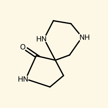 O=C1NCCC12CNCCN2